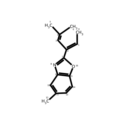 C/C=C(\C=C(C)C)c1nc2cc(C)ccc2o1